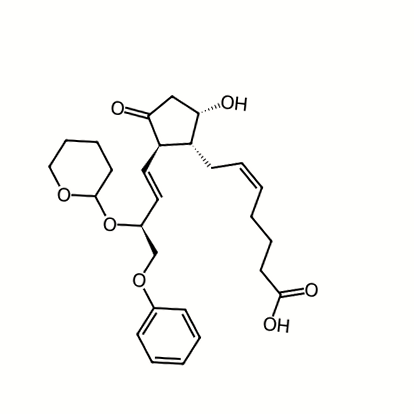 O=C(O)CCC/C=C\C[C@H]1[C@@H](O)CC(=O)[C@@H]1/C=C/[C@@H](COc1ccccc1)OC1CCCCO1